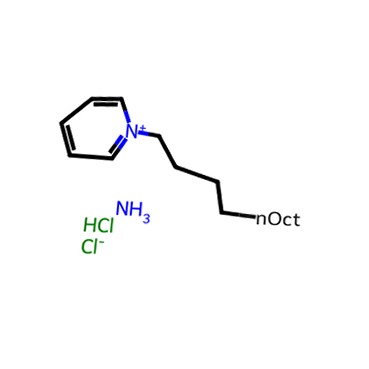 CCCCCCCCCCCC[n+]1ccccc1.Cl.N.[Cl-]